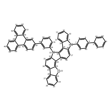 c1ccc(-c2ccc(-n3c4ccccc4c4c3ccc3c5c6oc7ccccc7c6ccc5n(-c5cccc(-c6ccc7c8ccccc8c8ccccc8c7c6)c5)c34)cc2)cc1